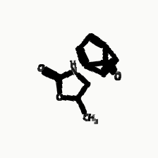 CC1CNC(=O)O1.O=C1C2=CC=C1C=C2